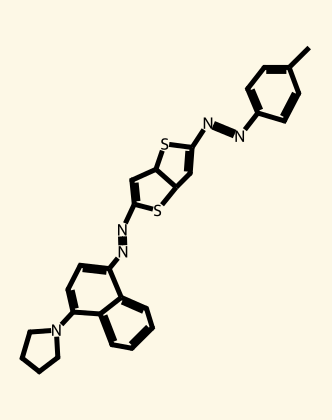 Cc1ccc(N=NC2=CC3SC(N=Nc4ccc(N5CCCC5)c5ccccc45)=CC3S2)cc1